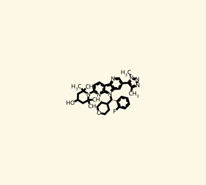 Cc1nnn(C)c1-c1cnc2c3ccc(N4C(C)(C)CC(O)CC4(C)C)nc3n([C@H](c3ccccc3F)C3CCOCC3)c2c1